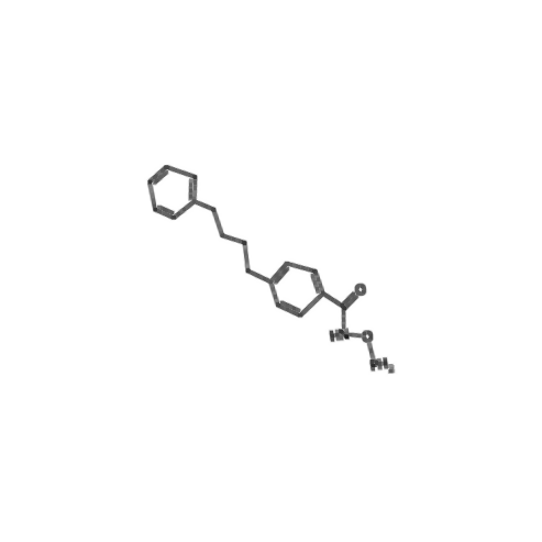 O=C(NOP)c1ccc(CCCCc2ccccc2)cc1